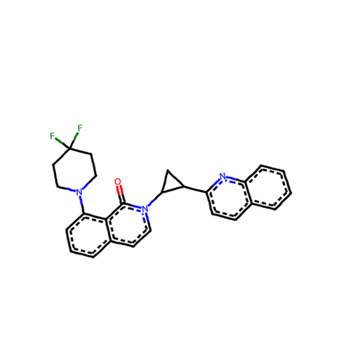 O=c1c2c(N3CCC(F)(F)CC3)cccc2ccn1C1CC1c1ccc2ccccc2n1